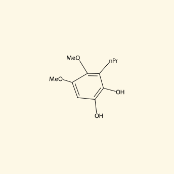 CCCc1c(O)c(O)cc(OC)c1OC